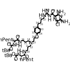 CCCCC[C@H](NC(=O)OC(C)(C)C)C(=O)NCCCN(CCCNC(=O)[C@H](CCCCC)NC(=O)OC(C)(C)C)CCOc1ccc(CCCCNC(=N)NC(=O)c2nc(Cl)c(N)nc2N)cc1